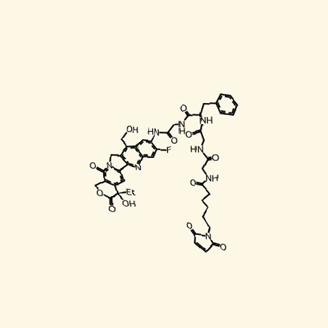 CC[C@@]1(O)C(=O)OCc2c1cc1n(c2=O)Cc2c-1nc1cc(F)c(NC(=O)CNC(=O)C(Cc3ccccc3)NC(=O)CNC(=O)CNC(=O)CCCCCN3C(=O)C=CC3=O)cc1c2CO